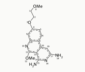 COCCOc1ccc2c(c1)nc(OC)c1c(N)nc(N)cc12